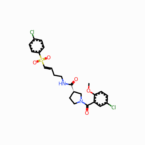 COc1ccc(Cl)cc1C(=O)N1CC[C@H](C(=O)NCC/C=C/S(=O)(=O)c2ccc(Cl)cc2)C1